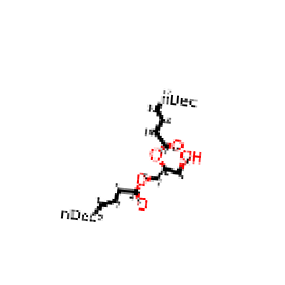 CCCCCCCCCCCCCC(=O)OC[C@H](CO)OC(=O)CCCCCCCCCCCCC